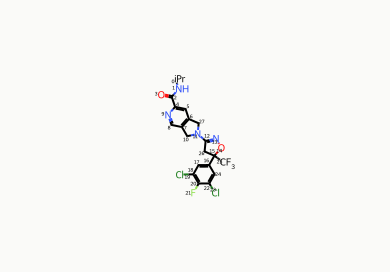 CC(C)NC(=O)c1cc2c(cn1)CN(C1=NOC(c3cc(Cl)c(F)c(Cl)c3)(C(F)(F)F)C1)C2